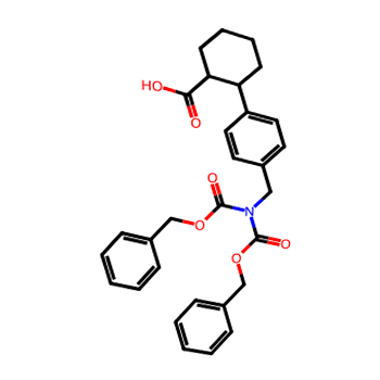 O=C(O)C1CCCCC1c1ccc(CN(C(=O)OCc2ccccc2)C(=O)OCc2ccccc2)cc1